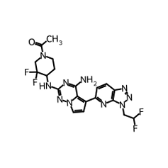 CC(=O)N1CCC(Nc2nc(N)c3c(-c4ccc5nnn(CC(F)F)c5n4)ccn3n2)C(F)(F)C1